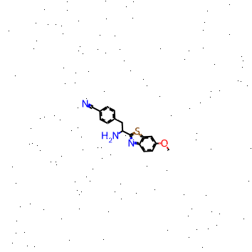 COc1ccc2nc(C(N)Cc3ccc(C#N)cc3)sc2c1